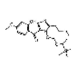 CCCCc1ncc(C(=O)c2ccc(OC)cc2O)n1OCOC(C)[Si](C)(C)C